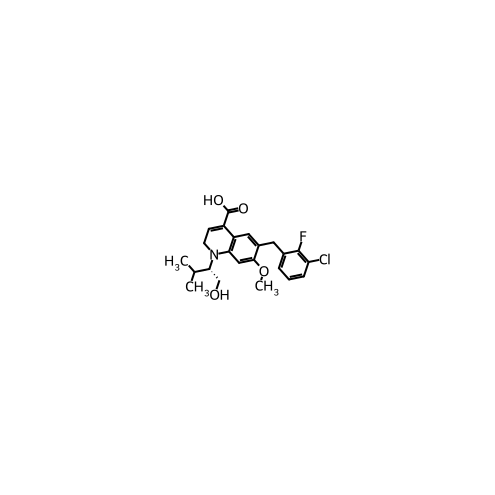 COc1cc2c(cc1Cc1cccc(Cl)c1F)C(C(=O)O)=CCN2[C@H](CO)C(C)C